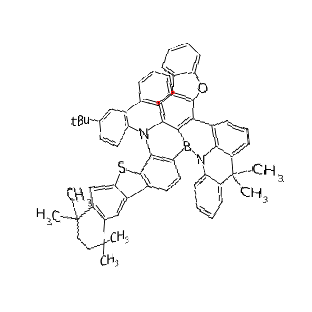 CC(C)(C)c1ccc(N2c3cc4c(oc5ccccc54)c4c3B(c3ccc5c(sc6cc7c(cc65)C(C)(C)CCC7(C)C)c32)N2c3ccccc3C(C)(C)c3cccc-4c32)c(-c2ccccc2)c1